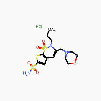 CC(=O)OCCN1C(CN2CCOCC2)=Cc2cc(S(N)(=O)=O)sc2S1(=O)=O.Cl